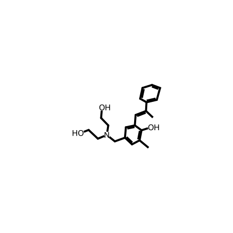 CC(=Cc1cc(CN(CCO)CCO)cc(C)c1O)c1ccccc1